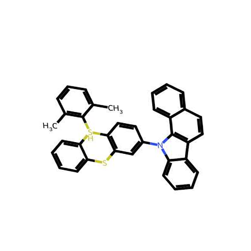 Cc1cccc(C)c1[SH]1c2ccccc2Sc2cc(-n3c4ccccc4c4ccc5ccccc5c43)ccc21